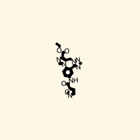 CCOC(=O)c1ncn2c1Cn1ncnc1-c1cc(NC(=O)c3ccno3)ccc1-2